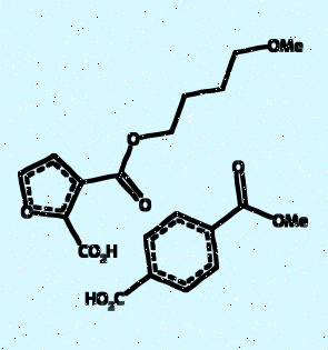 COC(=O)c1ccc(C(=O)O)cc1.COCCCCOC(=O)c1ccoc1C(=O)O